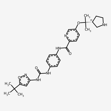 CC(C)(C)c1cc(NC(=O)Nc2ccc(NC(=O)c3ccc(OC(C)(C)[C@@H]4CCNC4)cn3)cc2)no1